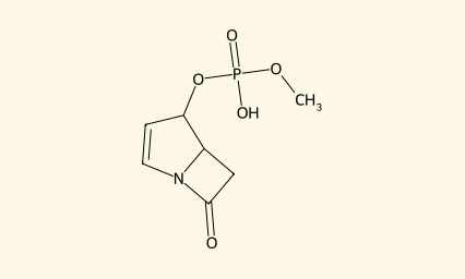 COP(=O)(O)OC1C=CN2C(=O)CC12